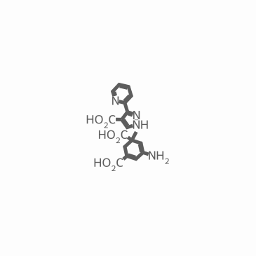 CC1(C(=O)O)C=C(N)C=C(C(=O)O)C1.O=C(O)c1c[nH]nc1-c1ccccn1